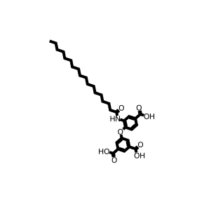 CCCCCCCCCCCCCCCCCC(=O)Nc1cc(C(=O)O)ccc1Oc1cc(C(=O)O)cc(C(=O)O)c1